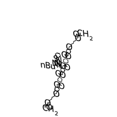 C=CC(=O)OCCCCCCOc1ccc(OC(=O)[C@H]2CC[C@H](C(=O)Oc3ccc(OC(=O)[C@H]4CC[C@H](C(=O)Oc5ccc(OCCCCCCOC(=O)C=C)cc5)CC4)c(/C=N/N(/N=C/CCCC)c4nc5ccccc5s4)c3)CC2)cc1